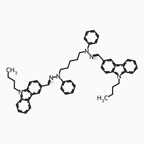 CCCCn1c2ccccc2c2cc(/C=N/N(CCCCCN(/N=C/c3ccc4c(c3)c3ccccc3n4CCCC)c3ccccc3)c3ccccc3)ccc21